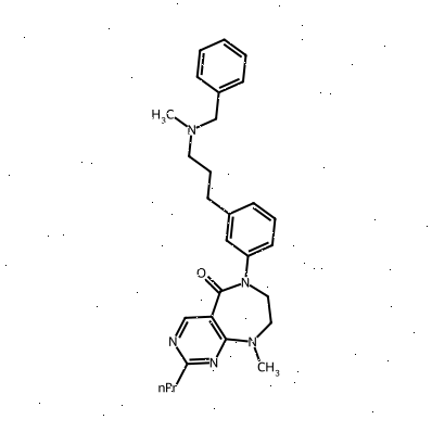 CCCc1ncc2c(n1)N(C)CCN(c1cccc(CCCN(C)Cc3ccccc3)c1)C2=O